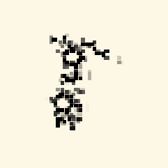 C=C/C=C\c1cc(NC(=O)Cc2cccc(C(F)(F)F)c2Cl)ccc1C